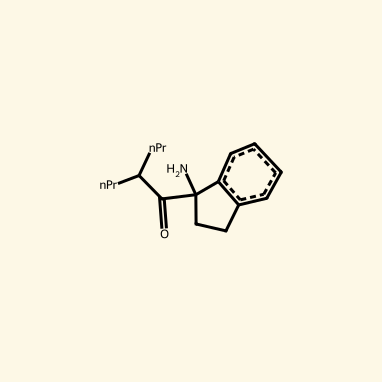 CCCC(CCC)C(=O)C1(N)CCc2ccccc21